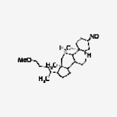 COCCCC(C)C1CCC2C3CC[C@@H]4C[C@H](N=O)CC[C@]4(C)C3CC[C@]12C